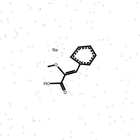 COC(=Cc1ccccc1)C(=O)O.[Na]